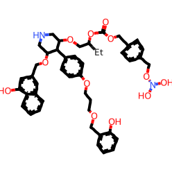 CCC(COC1CNCC(OCc2cc(O)c3ccccc3c2)C1c1ccc(OCCCOCc2ccccc2O)cc1)OC(=O)OCc1ccc(CON(O)O)cc1